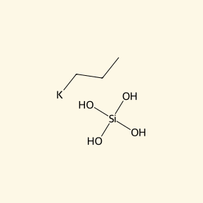 CC[CH2][K].O[Si](O)(O)O